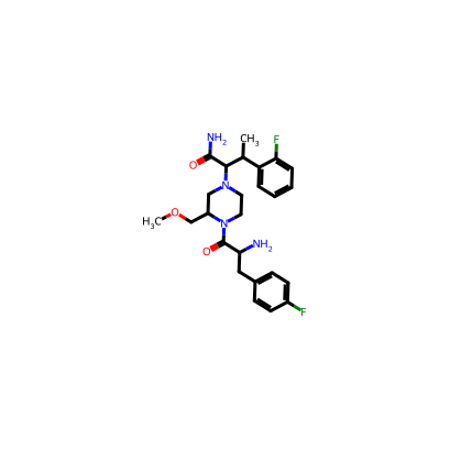 COCC1CN(C(C(N)=O)C(C)c2ccccc2F)CCN1C(=O)C(N)Cc1ccc(F)cc1